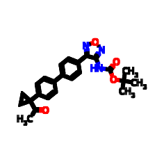 CC(=O)C1(c2ccc(-c3ccc(-c4nonc4NC(=O)OC(C)(C)C)cc3)cc2)CC1